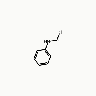 Cl[CH]Nc1ccccc1